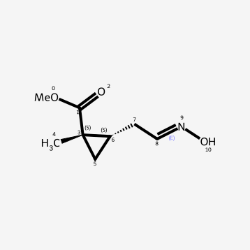 COC(=O)[C@@]1(C)C[C@H]1C/C=N/O